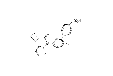 Cc1ccc(N(C(=O)C2CCC2)c2ccccc2)cc1-c1ccc(C(=O)O)cc1